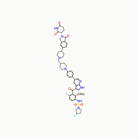 COc1c(NS(=O)(=O)N2CC[C@@H](F)C2)ccc(F)c1C(=O)c1c[nH]c2ncc(-c3ccc(N4CCC(CN5CCC(c6ccc7c(c6)CN([C@H]6CCC(=O)NC6=O)C7=O)CC5)CC4)cc3)cc12